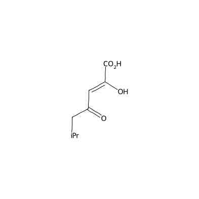 CC(C)CC(=O)C=C(O)C(=O)O